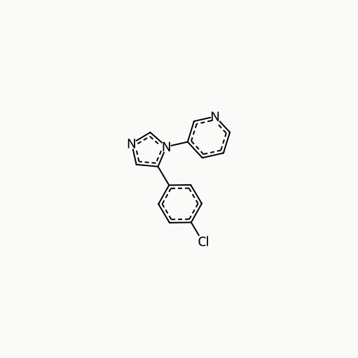 Clc1ccc(-c2cncn2-c2cccnc2)cc1